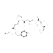 CC[C@H](C)[C@@H]([C@@H](CC(=O)N1CCC[C@H]1[C@H](OC)[C@@H](C)C(=O)N[C@H](CN=[N+]=[N-])Cc1ccc(O)cc1)OC)N(C)C(=O)[C@@H](NC(=O)[C@H](C(C)C)N(C)C)C(C)C